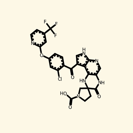 O=C(c1ccc(Oc2cc(C(F)(F)F)ccn2)cc1Cl)c1c[nH]c2ncc3c(c12)NC1(CCN(C(=O)O)C1)C(=O)N3